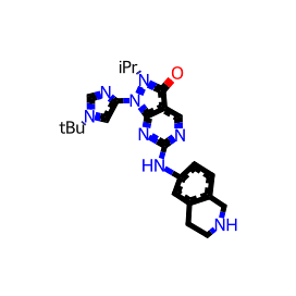 CC(C)n1c(=O)c2cnc(Nc3ccc4c(c3)CCNC4)nc2n1-c1cn(C(C)(C)C)cn1